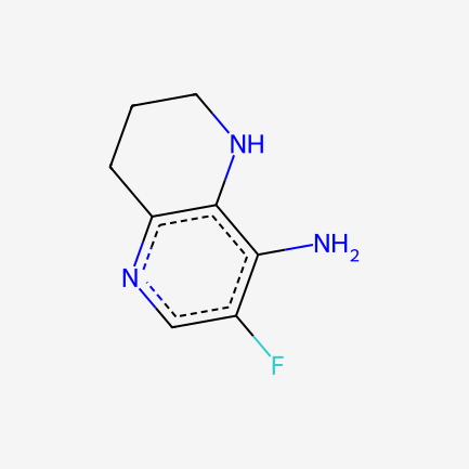 Nc1c(F)cnc2c1NCCC2